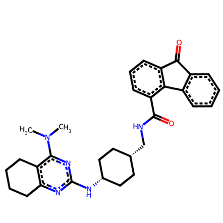 CN(C)c1nc(N[C@H]2CC[C@@H](CNC(=O)c3cccc4c3-c3ccccc3C4=O)CC2)nc2c1CCCC2